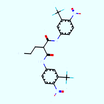 CCCC(C(=O)Nc1ccc([N+](=O)[O-])c(C(F)(F)F)c1)C(=O)Nc1ccc([N+](=O)[O-])c(C(F)(F)F)c1